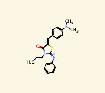 CCCN1C(=O)/C(=C/c2ccc(N(C)C)cc2)S/C1=N/c1ccccc1